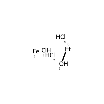 CCO.Cl.Cl.Cl.[Fe]